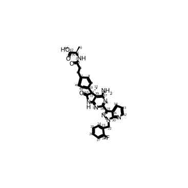 C[C@@H](NC(=O)CCc1ccc([C@]2(C)C(=O)Nc3nc(-c4nn(Cc5ccccc5F)c5ncccc45)nc(N)c32)cc1)C(=O)O